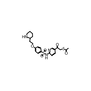 CC(=O)SCC(=O)c1ccc(NS(=O)(=O)c2ccc(OCCC3CCCCN3)cc2)nc1